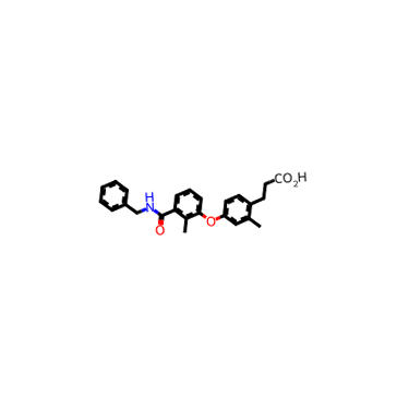 Cc1cc(Oc2cccc(C(=O)NCc3ccccc3)c2C)ccc1CCC(=O)O